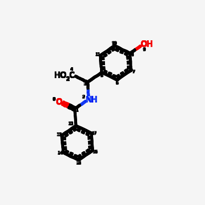 O=C(NC(C(=O)O)c1ccc(O)cc1)c1ccccc1